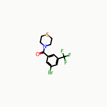 O=C(c1cc(Br)cc(C(F)(F)F)c1)N1CCSCC1